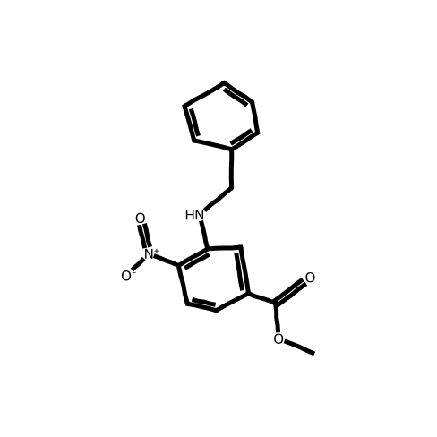 COC(=O)c1ccc([N+](=O)[O-])c(NCc2ccccc2)c1